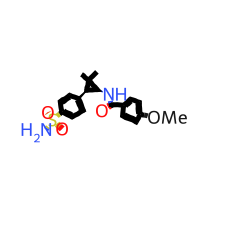 COc1ccc(C(=O)N[C@@H]2[C@@H](c3ccc(S(N)(=O)=O)cc3)C2(C)C)cc1